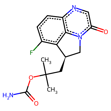 CC(C)(C[C@@H]1Cn2c(=O)cnc3ccc(F)c1c32)OC(N)=O